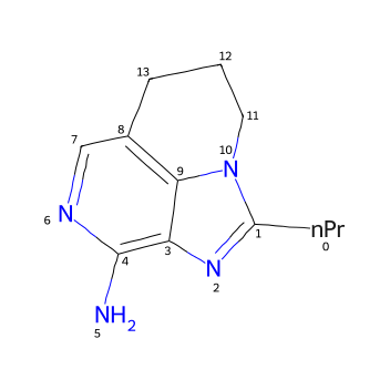 CCCc1nc2c(N)ncc3c2n1CCC3